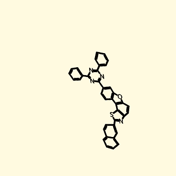 c1ccc(-c2nc(-c3ccccc3)nc(-c3ccc4c(c3)oc3ccc5nc(-c6ccc7ccccc7c6)sc5c34)n2)cc1